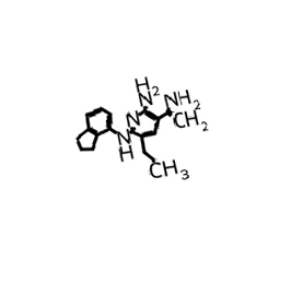 C=C(N)c1cc(CCC)c(Nc2cccc3c2CCC3)nc1N